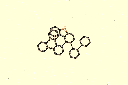 c1ccc(-c2ccccc2-c2ccc3sc4ccccc4c3c2-c2cccc3c4ccccc4c4ccccc4c23)cc1